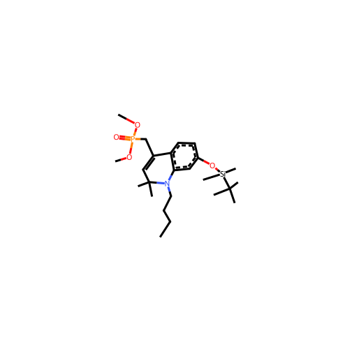 CCCCN1c2cc(O[Si](C)(C)C(C)(C)C)ccc2C(CP(=O)(OC)OC)=CC1(C)C